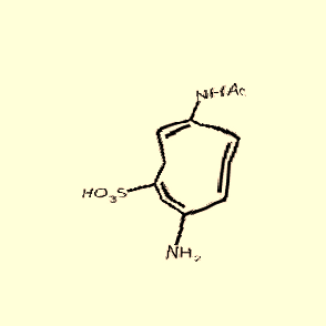 CC(=O)Nc1ccc(N)c(S(=O)(=O)O)c1